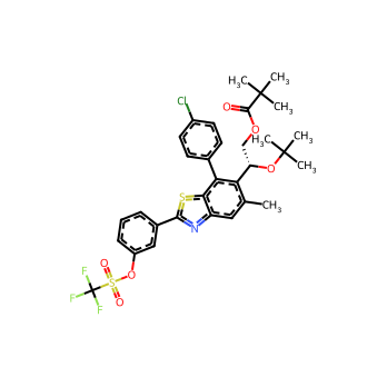 Cc1cc2nc(-c3cccc(OS(=O)(=O)C(F)(F)F)c3)sc2c(-c2ccc(Cl)cc2)c1[C@H](COC(=O)C(C)(C)C)OC(C)(C)C